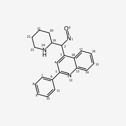 O=NC(c1cc(-c2ccccc2)nc2ccccc12)C1CCCCN1